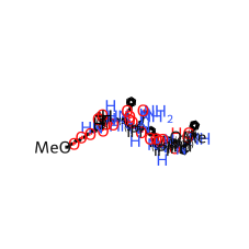 CC[C@H](C)[C@@H]([C@@H](CC(=O)N1CCC[C@H]1[C@H](OC)[C@@H](C)C(=O)N[C@H](C)[C@@H](O)c1ccccc1)OC)N(C)C(=O)[C@@H](NC(=O)[C@H](C(C)C)N(C)C(=O)OCc1ccc(NC(=O)[C@H](CCCNC(N)=O)NC(=O)[C@@H](NC(=O)[C@H](CCC(=O)NC2O[C@H](C(=O)NCCOCCOCCOCCOC)[C@H]3OC(C)(C)O[C@@H]23)NC(=O)OCc2ccccc2)C(C)C)cc1)C(C)C